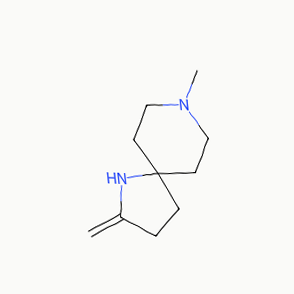 C=C1CCC2(CCN(C)CC2)N1